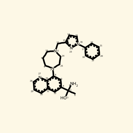 CC(N)(O)c1cc(N2CCCN(Cc3ccn(-c4ccccc4)n3)CC2)c2ncccc2c1